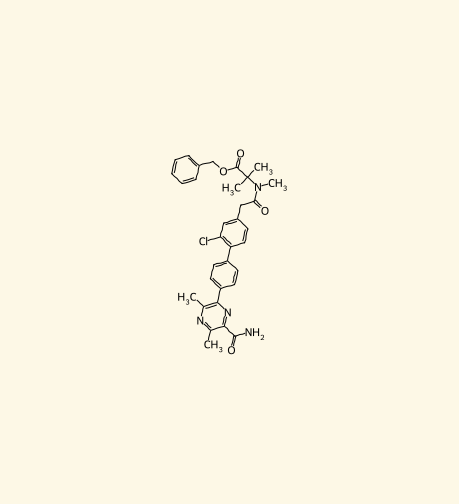 Cc1nc(C)c(-c2ccc(-c3ccc(CC(=O)N(C)C(C)(C)C(=O)OCc4ccccc4)cc3Cl)cc2)nc1C(N)=O